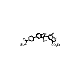 CCOC(=O)c1cnn2c(C)cc(-c3[nH]c4ccc(C5CCN(C(=O)OC(C)(C)C)CC5)cc4c3C(C)C)cc12